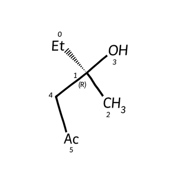 CC[C@@](C)(O)CC(C)=O